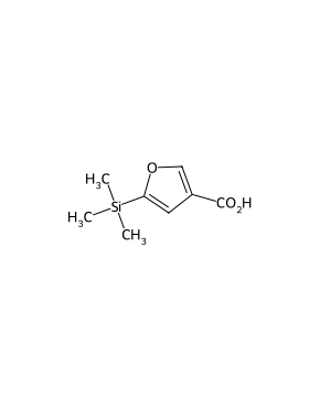 C[Si](C)(C)c1cc(C(=O)O)co1